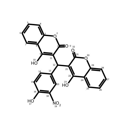 O=c1oc2ccccc2c(O)c1C(c1ccc(O)c([N+](=O)[O-])c1)c1c(O)c2ccccc2oc1=O